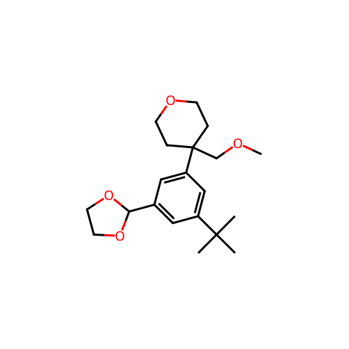 COCC1(c2cc(C3OCCO3)cc(C(C)(C)C)c2)CCOCC1